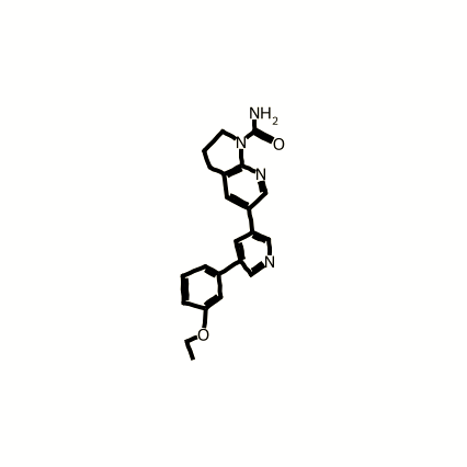 CCOc1cccc(-c2cncc(-c3cnc4c(c3)CCCN4C(N)=O)c2)c1